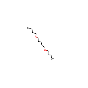 CC(C)CCCOCCCCCOCCCC(C)C